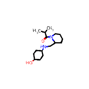 CC(C)C(=O)N1CCCCC1CNC1CCC(O)CC1